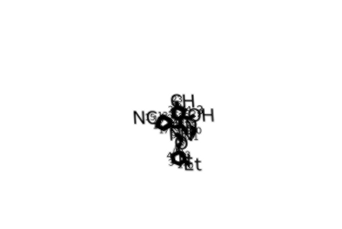 CCN1CCC[C@@H](COc2nc(-c3ccc(C#N)cc3)c(-c3ccc(C)cc3CO)c3nccn23)C1